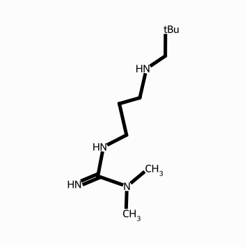 CN(C)C(=N)NCCCNCC(C)(C)C